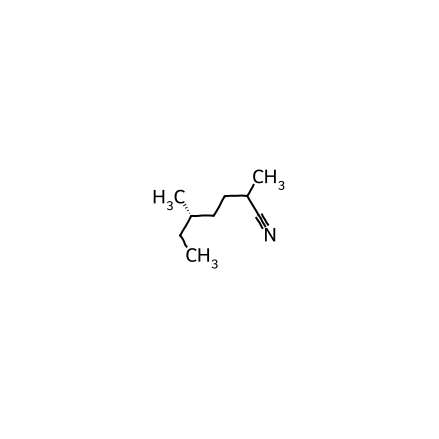 CC[C@H](C)CCC(C)C#N